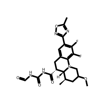 COC1C[C@@H](C)[C@@H]2[C@H](C(=O)NC(=O)NC=O)Cc3cc(-c4noc(C)n4)c(F)c(F)c3N2C1